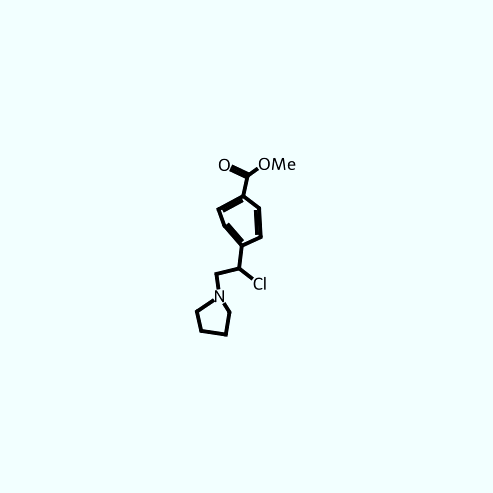 COC(=O)c1ccc(C(Cl)CN2CCCC2)cc1